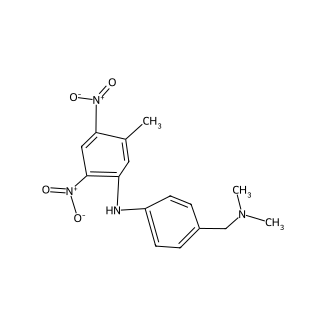 Cc1cc(Nc2ccc(CN(C)C)cc2)c([N+](=O)[O-])cc1[N+](=O)[O-]